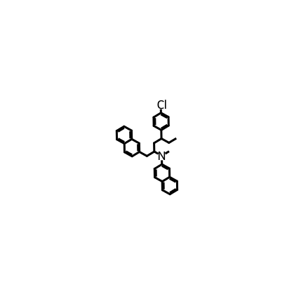 CCC(CC(Cc1ccc2ccccc2c1)N(C)c1ccc2ccccc2c1)c1ccc(Cl)cc1